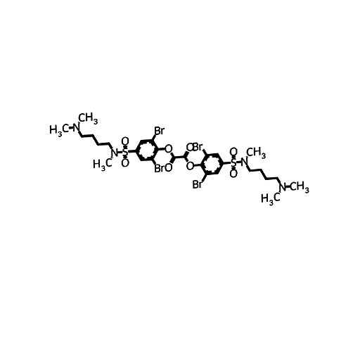 CN(C)CCCCN(C)S(=O)(=O)c1cc(Br)c(OC(=O)C(=O)Oc2c(Br)cc(S(=O)(=O)N(C)CCCCN(C)C)cc2Br)c(Br)c1